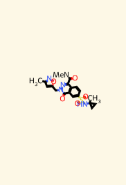 CNC(=O)c1nn(Cc2cc(C)no2)c(=O)c2cc(S(=O)(=O)NC3(C)CC3)ccc12